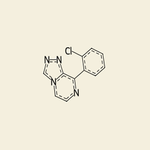 Clc1ccccc1-c1nccn2cnnc12